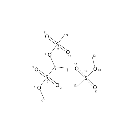 COS(=O)(=O)C(C)OS(C)(=O)=O.COS(C)(=O)=O